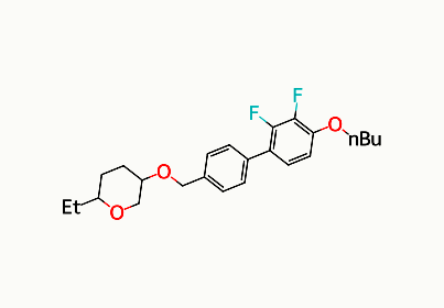 CCCCOc1ccc(-c2ccc(COC3CCC(CC)OC3)cc2)c(F)c1F